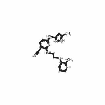 Cc1cc(Nc2ccc(C#N)c(NCCOc3cccnc3C)n2)n[nH]1